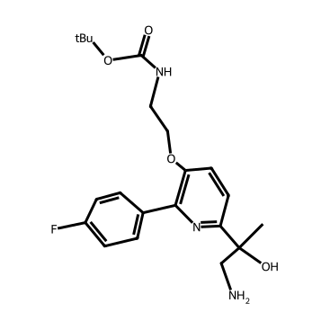 CC(C)(C)OC(=O)NCCOc1ccc(C(C)(O)CN)nc1-c1ccc(F)cc1